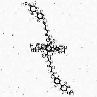 CCC[C@H]1CC[C@H](c2ccc(OCCCCCCOC(=O)c3cc(O[Si](C)(C)C(C)(C)C)c(C(=O)OCCCCCCOc4ccc([C@H]5CC[C@H](CCC)CC5)cc4)cc3O[Si](C)(C)C(C)(C)C)cc2)CC1